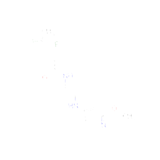 COC1=NCCC(NCCNC(=O)/C=C/C(C)(F)F)=C1